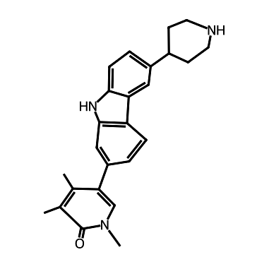 Cc1c(-c2ccc3c(c2)[nH]c2ccc(C4CCNCC4)cc23)cn(C)c(=O)c1C